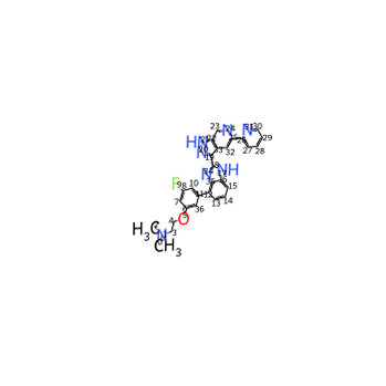 CN(C)CCOc1cc(F)cc(-c2cccc3[nH]c(-c4n[nH]c5cnc(-c6ccccn6)cc45)nc23)c1